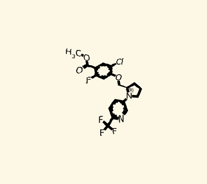 COC(=O)c1cc(Cl)c(OC[C@H]2CCCN2c2ccc(C(F)(F)F)nc2)cc1F